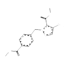 COC(=O)c1ccc(Cn2ncc(N)c2C(=O)OC)cc1